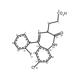 O=C(O)CCC1N=C(c2ccccc2F)c2cc(Cl)ccc2NC1=O